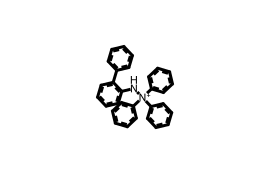 c1ccc(-c2ccccc2N[N+](c2ccccc2)(c2ccccc2)c2ccccc2)cc1